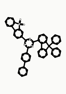 O=S1(=O)c2ccccc2-c2ccc(-c3nc(-c4ccc(-c5ccccc5)cc4)nc(-c4cccc5c4-c4ccccc4C5(c4ccccc4)c4ccccc4)n3)cc21